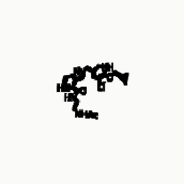 CC(=O)NCCNC(=O)C1NC=Cc2nn(CC3=CC(Cl)=C(OCC4CC4)NC3)cc21